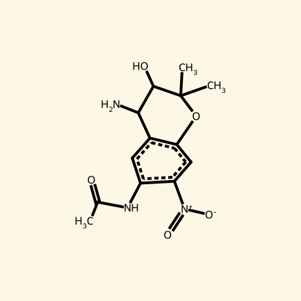 CC(=O)Nc1cc2c(cc1[N+](=O)[O-])OC(C)(C)C(O)C2N